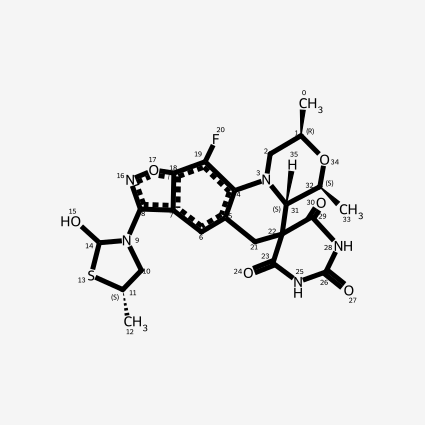 C[C@@H]1CN2c3c(cc4c(N5C[C@H](C)SC5O)noc4c3F)CC3(C(=O)NC(=O)NC3=O)[C@H]2[C@H](C)O1